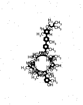 [2H]c1c([2H])c(-c2ccc(-c3ccc(C(=O)N[C@@H]4C(=O)N[C@@](C)([C@H](O)CC)C(=O)N5C[C@H](O)C[C@@]5(C)C(=O)N[C@@H]([C@H](O)[C@@H](O)c5ccc(O)c(C)c5C)C(=O)N[C@@H]([C@H](O)CC)C(=O)N5C(C)[C@](C)(C(C)C)[C@H](O)[C@H]5C(=O)N[C@H](OO)[C@H](O)C4C)c(C)c3)c(C)c2)c(C)c([2H])c1OC(C)CC(C)CC